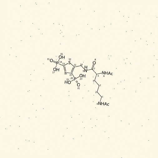 CC(=O)NCCCCC(NC(C)=O)C(=O)NCc1sc(P(=O)(O)O)cc1P(=O)(O)O